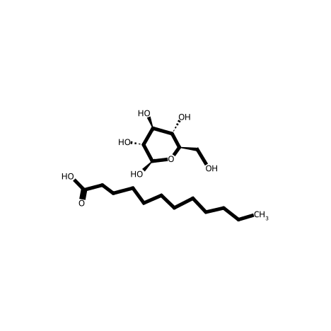 CCCCCCCCCCCC(=O)O.OC[C@H]1O[C@@H](O)[C@H](O)[C@@H](O)[C@@H]1O